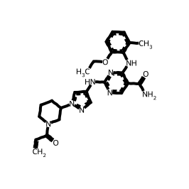 C=CC(=O)N1CCCC(n2cc(Nc3ncc(C(N)=O)c(Nc4c(C)cccc4OCC)n3)cn2)C1